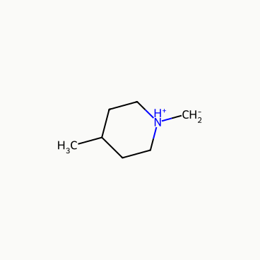 [CH2-][NH+]1CCC(C)CC1